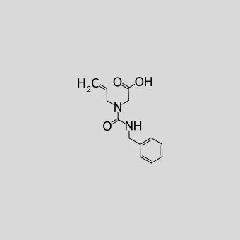 C=CCN(CC(=O)O)C(=O)NCc1ccccc1